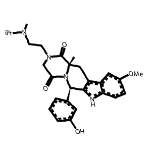 COc1ccc2[nH]c3c(c2c1)C[C@@]1(C)C(=O)N(CCN(C)C(C)C)CC(=O)N1[C@@H]3c1cccc(O)c1